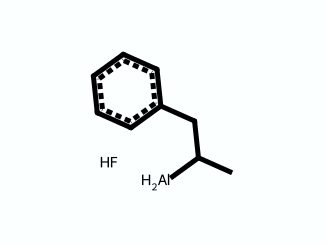 C[CH]([AlH2])Cc1ccccc1.F